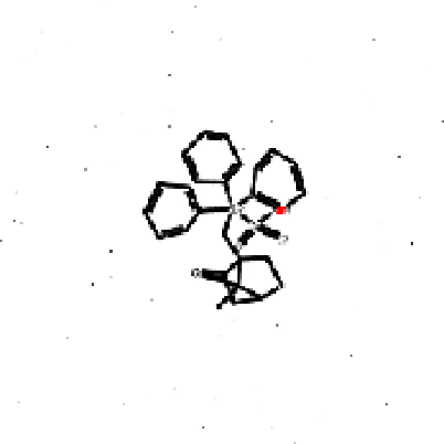 CC1(C)C2CCC1(C[SH](c1ccccc1)(c1ccccc1)(c1ccccc1)S(=O)(=O)O)C(=O)C2